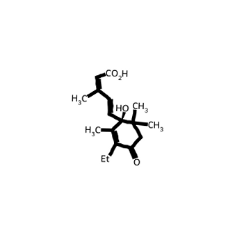 CCC1=C(C)[C@](O)(/C=C/C(C)=C\C(=O)O)C(C)(C)CC1=O